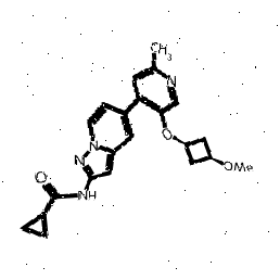 CO[C@H]1C[C@@H](Oc2cnc(C)cc2-c2ccn3nc(NC(=O)C4CC4)cc3c2)C1